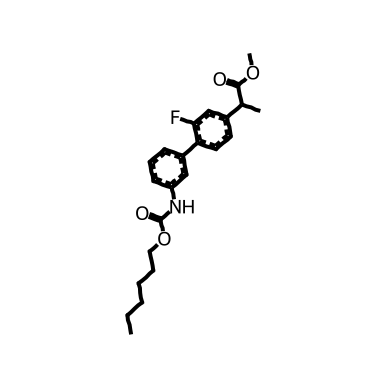 CCCCCCOC(=O)Nc1cccc(-c2ccc(C(C)C(=O)OC)cc2F)c1